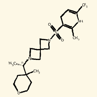 CC1=C(S(=O)(=O)N2CC3(CN([C@@H](C)C4(C)CCOCC4)C3)C2)CC=C(C(F)(F)F)N1